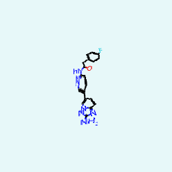 Nc1nc2ccc(-c3ccc(NC(=O)Cc4ccc(F)cc4)nc3)cn2n1